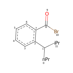 CCCC(c1ccccc1C(=O)Br)C(C)C